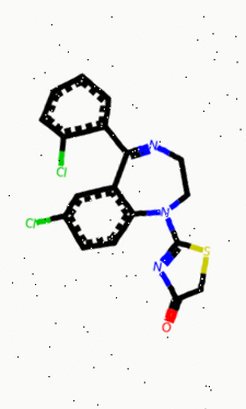 O=C1CSC(N2CCN=C(c3ccccc3Cl)c3cc(Cl)ccc32)=N1